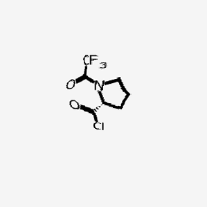 O=C(Cl)[C@H]1CCCN1C(=O)C(F)(F)F